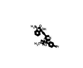 CC(C)c1ccc([C@](O)(c2cncc(C#CC3(O)C(=O)N(C)c4ccccc43)c2)C2(C)CN(C)C2)cc1